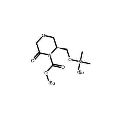 CC(C)(C)OC(=O)N1C(=O)COC[C@H]1CO[Si](C)(C)C(C)(C)C